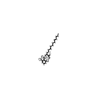 CCCCCCCCCCCCCC(COC(=O)c1c(Cl)cccc1Cl)C(C)=O